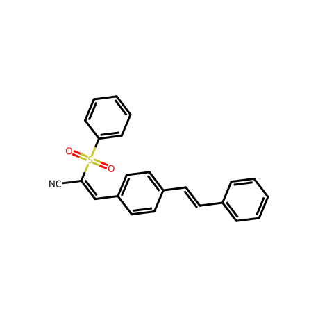 N#C/C(=C/c1ccc(/C=C/c2ccccc2)cc1)S(=O)(=O)c1ccccc1